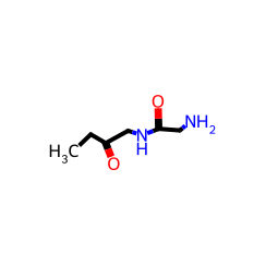 CCC(=O)CNC(=O)CN